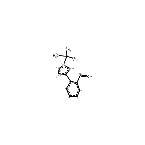 CC(C)(C)n1nnc(-c2ccccc2C=O)n1